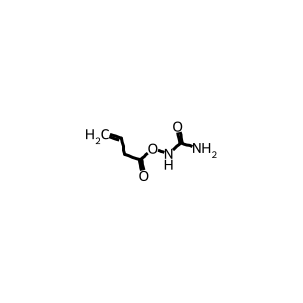 C=CCC(=O)ONC(N)=O